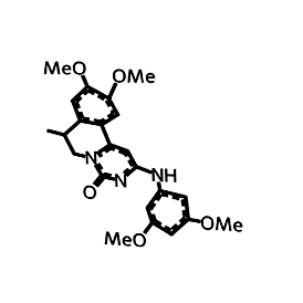 COc1cc(Nc2cc3n(c(=O)n2)CC(C)c2cc(OC)c(OC)cc2-3)cc(OC)c1